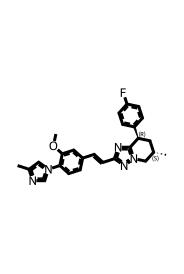 COc1cc(C=Cc2nc3n(n2)C[C@@H](C)C[C@@H]3c2ccc(F)cc2)ccc1-n1cnc(C)c1